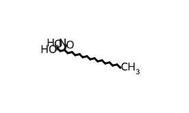 CCCCCCCCCCCCCCCCC(CC(=O)O)C(N)=O